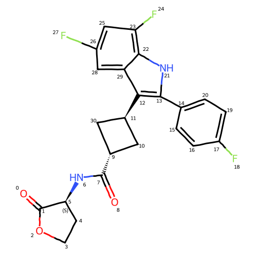 O=C1OCC[C@@H]1NC(=O)[C@H]1C[C@H](c2c(-c3ccc(F)cc3)[nH]c3c(F)cc(F)cc32)C1